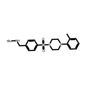 Cc1ccccc1N1CCN(S(=O)(=O)c2ccc(CNC(C)(C)C)cc2)CC1